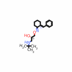 CC(C)(C)NC[C@H](O)CO/N=C1\CCCC\C1=C/c1ccccc1